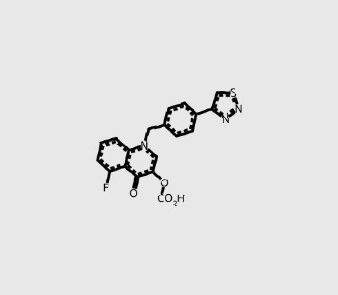 O=C(O)Oc1cn(Cc2ccc(-c3csnn3)cc2)c2cccc(F)c2c1=O